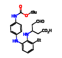 CCc1cccc(Nc2ccc(NC(=O)OC(C)(C)C)cc2)c1NC(CC=O)CC(=O)O